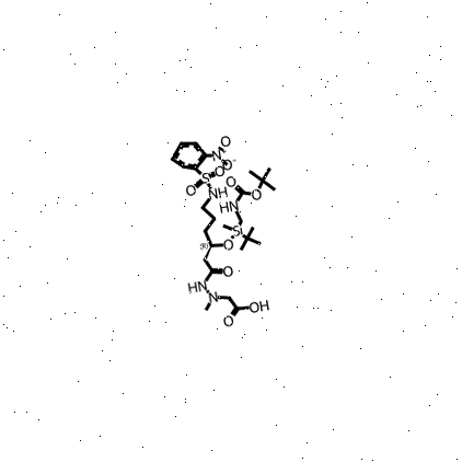 CN(CC(=O)O)NC(=O)C[C@@H](CCCNS(=O)(=O)c1ccccc1[N+](=O)[O-])O[Si](C)(CNC(=O)OC(C)(C)C)C(C)(C)C